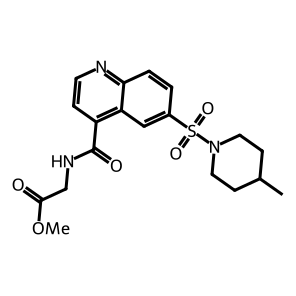 COC(=O)CNC(=O)c1ccnc2ccc(S(=O)(=O)N3CCC(C)CC3)cc12